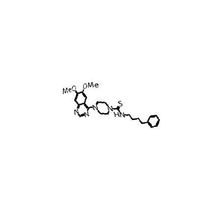 COc1cc2ncnc(N3CCN(C(=S)NCCCCc4ccccc4)CC3)c2cc1OC